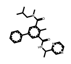 Cc1c(C(=O)NC(C)c2cnccn2)cc(-c2ccccc2)cc1C(=O)N(C)CC(C)C